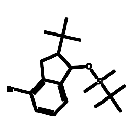 CC(C)(C)C1Cc2c(Br)cccc2C1O[Si](C)(C)C(C)(C)C